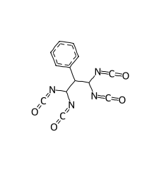 O=C=NC(N=C=O)C(c1ccccc1)C(N=C=O)N=C=O